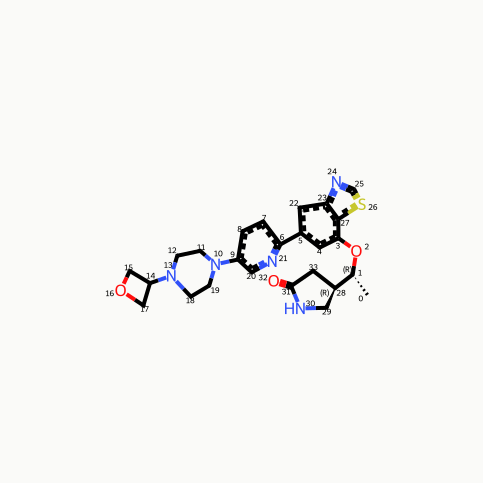 C[C@@H](Oc1cc(-c2ccc(N3CCN(C4COC4)CC3)cn2)cc2ncsc12)[C@H]1CNC(=O)C1